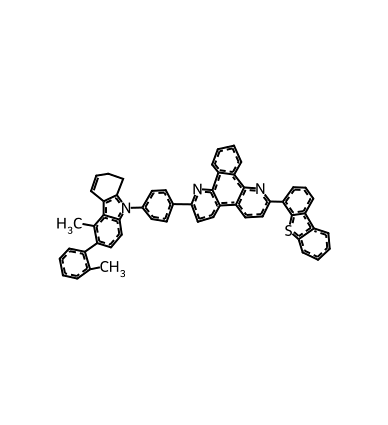 Cc1ccccc1-c1ccc2c(c1C)c1c(n2-c2ccc(-c3ccc4c5ccc(-c6cccc7c6sc6ccccc67)nc5c5ccccc5c4n3)cc2)CCC=C1